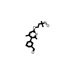 Cc1cc(OCCC(C)(C)N=O)nc(C)c1-c1cccc(C=O)c1